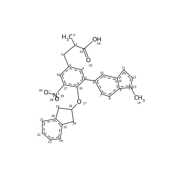 CC(Cc1cc(-c2ccc3c(ccn3C)c2)c(OC2Cc3ccccc3C2)c([N+](=O)[O-])c1)C(=O)O